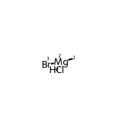 Cl.[CH3][Mg][Br]